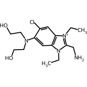 CCn1c(CN)[n+](CC)c2cc(Cl)c(N(CCO)CCO)cc21